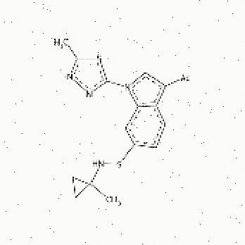 CC(=O)c1cn(-c2nnc(C)s2)c2cc(SNC3(C)CC3)ccc12